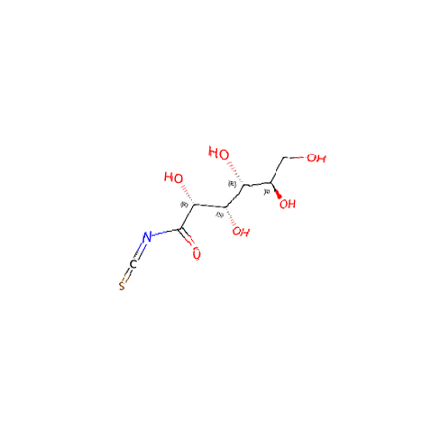 O=C(N=C=S)[C@H](O)[C@@H](O)[C@H](O)[C@H](O)CO